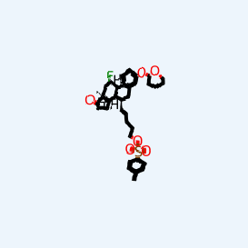 Cc1ccc(S(=O)(=O)OCCCCC[C@@H]2Cc3cc(OC4CCCCO4)ccc3[C@@H]3[C@@H]2[C@@H]2CCC(=O)[C@@]2(C)C[C@@H]3F)cc1